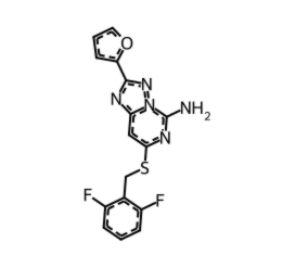 Nc1nc(SCc2c(F)cccc2F)cc2nc(-c3ccco3)nn12